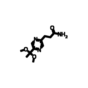 COC(C)(OC)c1cnc(CCC(N)=O)cn1